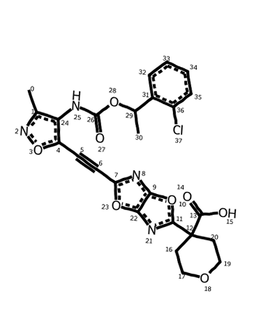 Cc1noc(C#Cc2nc3oc(C4(C(=O)O)CCOCC4)nc3o2)c1NC(=O)OC(C)c1ccccc1Cl